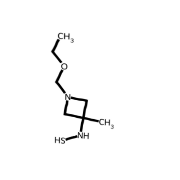 CCOCN1CC(C)(NS)C1